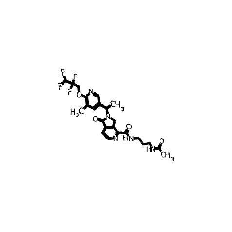 CC(=O)NCCCNC(=O)c1nccc2c1CN(C(C)c1cnc(OCC(F)(F)C(F)F)c(C)c1)C2=O